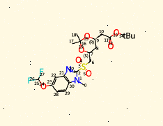 Cn1c(S(=O)(=O)C[C@@H]2C[C@H](CC(=O)OC(C)(C)C)OC(C)(C)O2)nc2cc(OC(F)F)ccc21